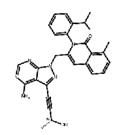 Cc1cccc2cc(Cn3nc(C#C[C@@H](C)O)c4c(N)ncnc43)n(-c3ccccc3C(C)C)c(=O)c12